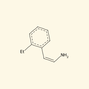 CCc1ccccc1/C=C\N